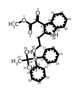 COC(=O)C(=O)c1c(CCO[Si](c2ccccc2)(c2ccccc2)C(C)(C)C)[nH]c2ccccc12